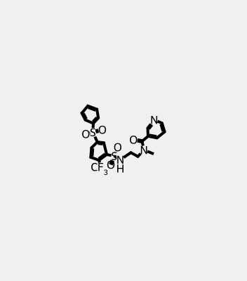 CN(CCNS(=O)(=O)c1cc(S(=O)(=O)c2ccccc2)ccc1C(F)(F)F)C(=O)c1cccnc1